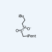 CCCC(C)C[S+]([O-])[S+]([O-])CCC(C)CC